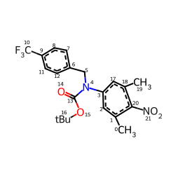 Cc1cc(N(Cc2ccc(C(F)(F)F)cc2)C(=O)OC(C)(C)C)cc(C)c1[N+](=O)[O-]